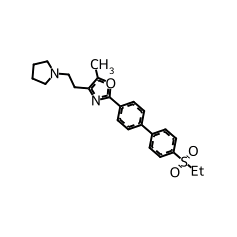 CCS(=O)(=O)c1ccc(-c2ccc(-c3nc(CCN4CCCC4)c(C)o3)cc2)cc1